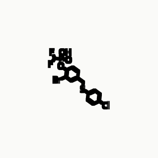 O=P(O)(Oc1ccc(CSc2ccc(Cl)cc2)cc1Br)C(F)F